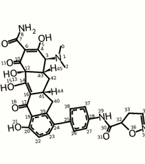 CN(C)[C@@H]1C(O)=C(C(N)=O)C(=O)[C@@]2(O)C(O)=C3C(=O)c4c(O)ccc(-c5ccc(NC(=O)C6CC=NO6)cc5)c4C[C@H]3C[C@@H]12